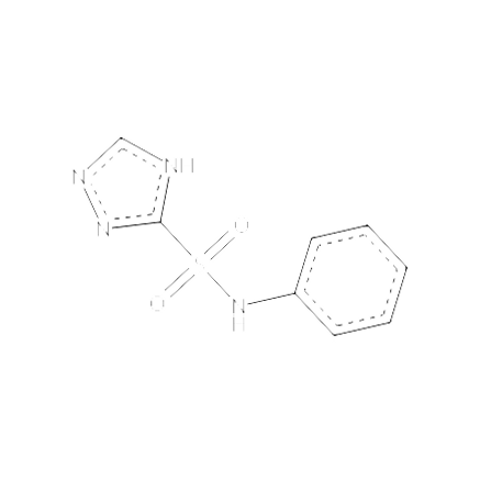 O=S(=O)(Nc1[c]cccc1)c1nnc[nH]1